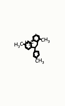 Cc1ccc(C(Cc2c(C)c[c]cc2C)c2ccc(C)cc2)cc1